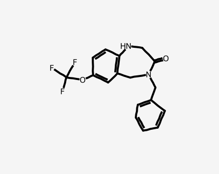 O=C1CNc2ccc(OC(F)(F)F)cc2CN1Cc1ccccc1